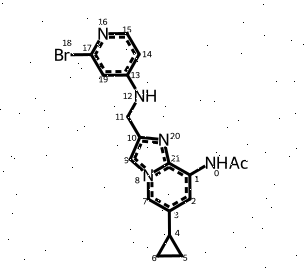 CC(=O)Nc1cc(C2CC2)cn2cc(CNc3ccnc(Br)c3)nc12